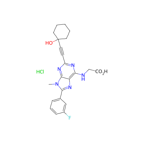 Cl.Cn1c(-c2cccc(F)c2)nc2c(NCC(=O)O)nc(C#CC3(O)CCCCC3)nc21